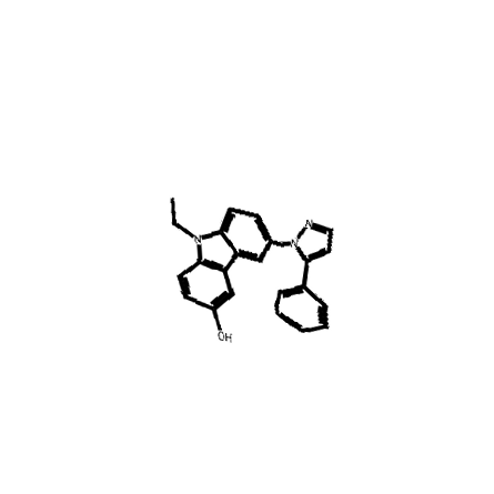 CCn1c2ccc(O)cc2c2cc(-n3nccc3-c3ccccc3)ccc21